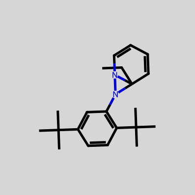 CCC12C=CC=CN1N2c1cc(C(C)(C)C)ccc1C(C)(C)C